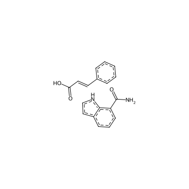 NC(=O)c1cccc2cc[nH]c12.O=C(O)/C=C/c1ccccc1